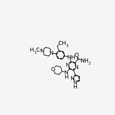 CCc1cc(Nc2nc(NC3CCOCC3)c(-c3cc[nH]n3)nc2C(N)=O)ccc1N1CCN(C)CC1